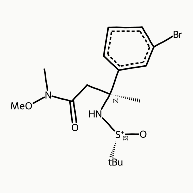 CON(C)C(=O)C[C@](C)(N[S@+]([O-])C(C)(C)C)c1cccc(Br)c1